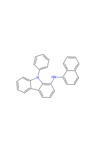 c1ccc(-n2c3ccccc3c3cccc(Nc4cccc5ccccc45)c32)cc1